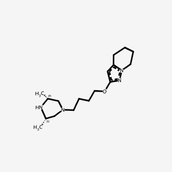 C[C@@H]1CN(CCCCOc2cc3n(n2)CCCC3)C[C@H](C)N1